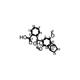 COc1cc(C(O)c2ccccc2C(=O)O)c(OC)c2c1C1CCC2C1